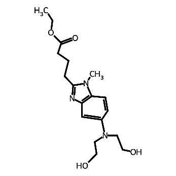 CCOC(=O)CCCc1nc2cc(N(CCO)CCO)ccc2n1C